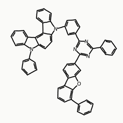 c1ccc(-c2nc(-c3cccc(-n4c5ccccc5c5c6c7ccccc7n(-c7ccccc7)c6ccc54)c3)nc(-c3ccc4c(c3)oc3c(-c5ccccc5)cccc34)n2)cc1